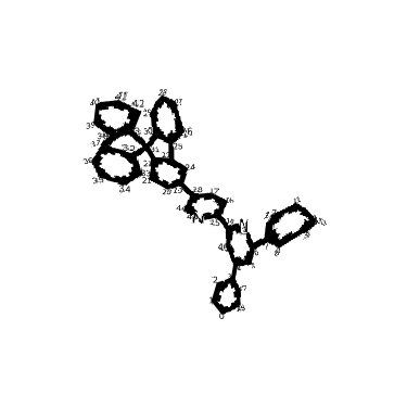 c1ccc(-c2cc(-c3ccccc3)nc(-c3ccc(-c4ccc5c(c4)-c4ccccc4C54c5ccccc5-c5ccccc54)cn3)c2)cc1